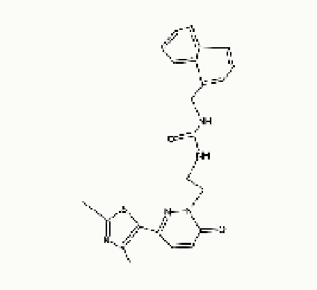 Cc1nc(C)c(-c2ccc(=O)n(CCNC(=O)NCc3cccc4ccccc34)n2)s1